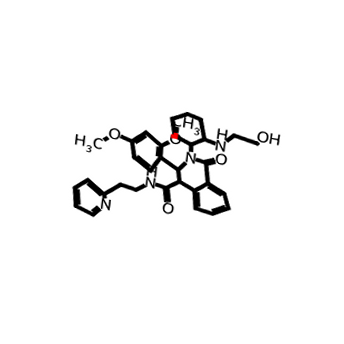 COc1ccc(C2C(C(=O)NCCc3ccccn3)c3ccccc3C(=O)N2C2CCCCC2NCCO)c(OC)c1